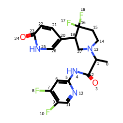 CC(C(=O)Nc1cc(F)c(F)cn1)N1CCC(F)(F)C(c2ccc(=O)[nH]c2)C1